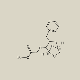 CC(C)(C)OC(=O)COC1C(Cc2ccccc2)C[C@H]2CO[C@@H]1O2